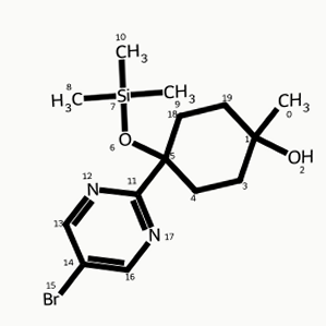 CC1(O)CCC(O[Si](C)(C)C)(c2ncc(Br)cn2)CC1